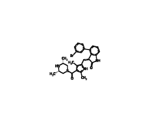 Cc1[nH]c(/C=C2\C(=O)Nc3cccc(-c4cccc(Br)c4)c32)c(C)c1C(=O)N1C[C@@H](C)N[C@@H](C)C1